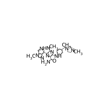 CNc1nc(Nc2ccc([C@@H](C)N3CCN(C)CC3)cc2)c(C(N)=O)nc1-c1cncc2c1ncn2C